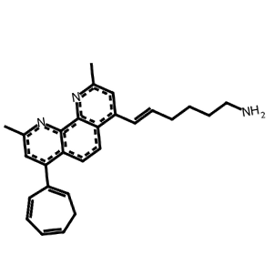 Cc1cc(/C=C/CCCCN)c2ccc3c(C4=CCC=CC=C4)cc(C)nc3c2n1